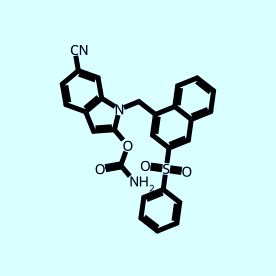 N#Cc1ccc2cc(OC(N)=O)n(Cc3cc(S(=O)(=O)c4ccccc4)cc4ccccc34)c2c1